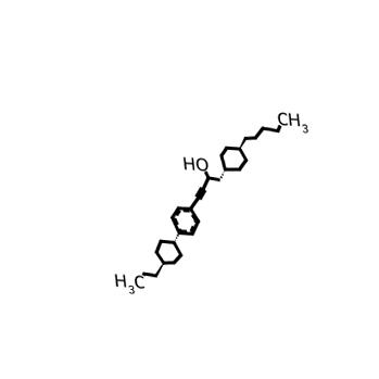 CCCCC[C@H]1CC[C@H](CC(O)C#Cc2ccc([C@H]3CC[C@H](CCC)CC3)cc2)CC1